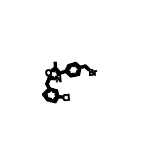 Cc1oc(Cc2cccc(Cl)c2)nc1-c1ccc(CBr)cc1